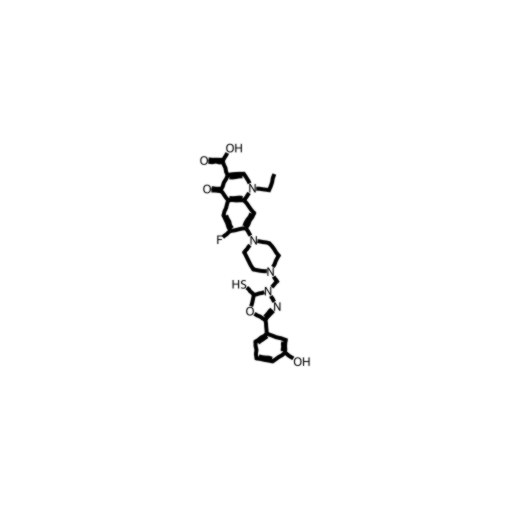 CCn1cc(C(=O)O)c(=O)c2cc(F)c(N3CCN(CN4N=C(c5cccc(O)c5)OC4S)CC3)cc21